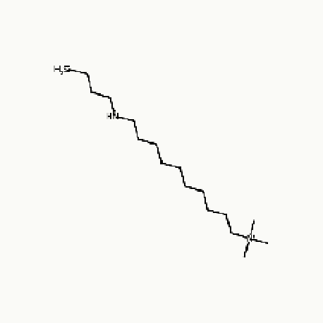 C[N+](C)(C)CCCCCCCCCCNCCC[SiH3]